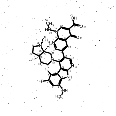 CNc1cc(F)c(F)c2c1[nH]c1ncc(-c3cnc4c(c3)c(=O)c(C(=O)O)cn4NC)c(N3CC[C@H]4CCN(C)[C@H]4C3)c12